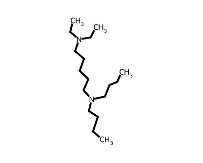 CCCCN(CC[CH]CCN(CC)CC)CCCC